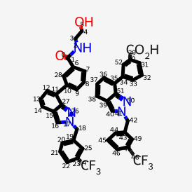 O=C(NCCO)c1cccc(-c2cccc3cn(Cc4cccc(C(F)(F)F)c4)nc23)c1.O=C(O)c1cccc(-c2cccc3cn(Cc4cccc(C(F)(F)F)c4)nc23)c1